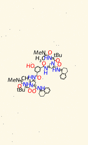 CN[C@@H](C)C(=O)N[C@H](C(=O)N1C[C@@H](NC(=O)c2cc(O)cc(C(=O)N[C@H]3C[C@@H](C(=O)N[C@@H]4CCCc5ccccc54)N(C(=O)[C@@H](NC(=O)[C@H](C)NC)C(C)(C)C)C3)c2)C[C@H]1C(=O)N[C@@H]1CCCc2ccccc21)C(C)(C)C